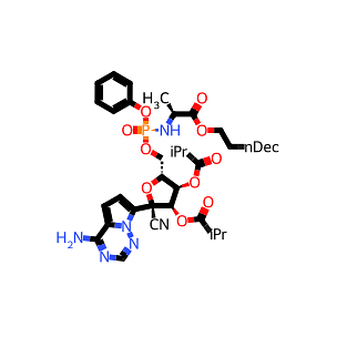 CCCCCCCCCCCCOC(=O)[C@H](C)N[P@@](=O)(OC[C@H]1O[C@@](C#N)(c2ccc3c(N)ncnn23)[C@H](OC(=O)C(C)C)[C@@H]1OC(=O)C(C)C)Oc1ccccc1